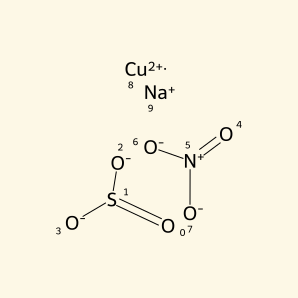 O=S([O-])[O-].O=[N+]([O-])[O-].[Cu+2].[Na+]